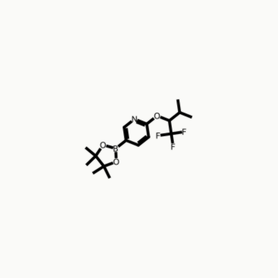 CC(C)C(Oc1ccc(B2OC(C)(C)C(C)(C)O2)cn1)C(F)(F)F